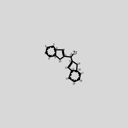 [Zr][CH](C1=Cc2ccccc2C1)C1=Cc2ccccc2C1